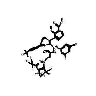 C=Nc1c(C(=O)NC)cccc1-c1ccc(C#CC(C)(C)O)nc1[C@H](Cc1cc(F)cc(F)c1)NC(=O)Cn1nc(C(F)(F)F)c2c1C(F)(F)[C@@H]1C[C@H]21